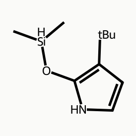 C[SiH](C)Oc1[nH]ccc1C(C)(C)C